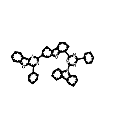 c1ccc(-c2nc(-c3cccc4c3oc3cc(-c5nc(-c6ccccc6)c6oc7ccccc7c6n5)ccc34)nc(-n3c4ccccc4c4ccccc43)n2)cc1